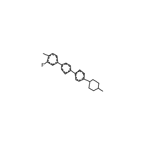 Cc1ccc(-c2ccc(-c3ccc(C4CCC(C)CC4)cc3)cc2)cc1F